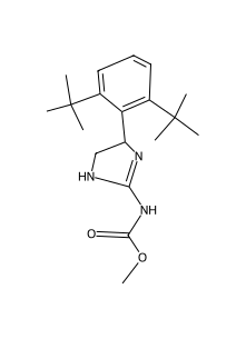 COC(=O)NC1=NC(c2c(C(C)(C)C)cccc2C(C)(C)C)CN1